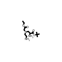 CCOC(=O)CN(CCN)CC(N)C(=O)OC(C)(C)C